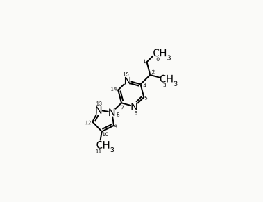 CCC(C)c1cnc(-n2cc(C)cn2)cn1